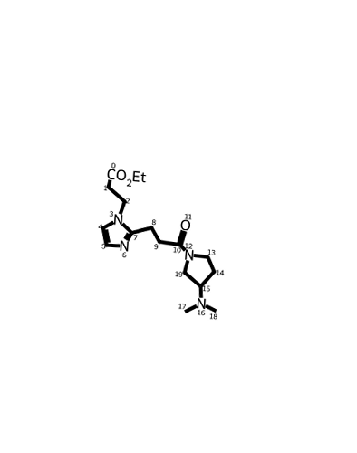 CCOC(=O)CCn1ccnc1CCC(=O)N1CCC(N(C)C)C1